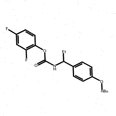 CCCCOc1ccc(C(CC)NC(=O)Oc2ccc(F)cc2F)cc1